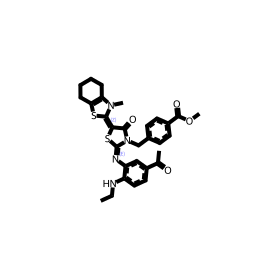 CCNc1ccc(C(C)=O)cc1/N=C1/S/C(=C2\SC3=C(CCCC3)N2C)C(=O)N1Cc1ccc(C(=O)OC)cc1